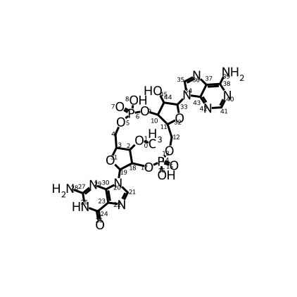 COC1C2COP(=O)(O)OC3C(COP(=O)(O)OC1C(n1cnc4c(=O)[nH]c(N)nc41)O2)OC(n1cnc2c(N)ncnc21)C3O